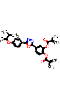 C=C(C)C(=C)Oc1ccc(-c2nnc(-c3ccc(OC(=O)C(=C)C)c(OC(=O)C(=C)C)c3)o2)cc1